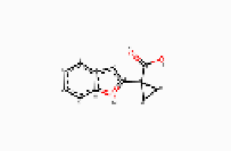 O=C(O)C1(c2cc3ccccc3o2)CC1